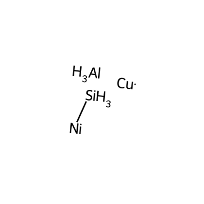 [AlH3].[Cu].[SiH3][Ni]